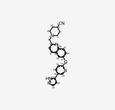 N#CC1CCN(Cc2ccc3cc(Oc4ccc(-c5ccn[nH]5)cn4)ccc3n2)CC1